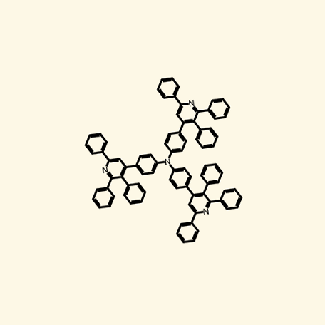 c1ccc(-c2cc(-c3ccc(N(c4ccc(-c5cc(-c6ccccc6)nc(-c6ccccc6)c5-c5ccccc5)cc4)c4ccc(-c5cc(-c6ccccc6)nc(-c6ccccc6)c5-c5ccccc5)cc4)cc3)c(-c3ccccc3)c(-c3ccccc3)n2)cc1